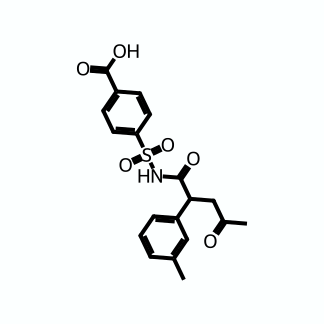 CC(=O)CC(C(=O)NS(=O)(=O)c1ccc(C(=O)O)cc1)c1cccc(C)c1